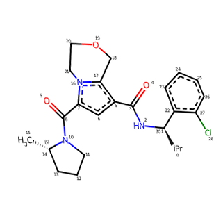 CC(C)[C@@H](NC(=O)c1cc(C(=O)N2CCC[C@@H]2C)n2c1COCC2)c1ccccc1Cl